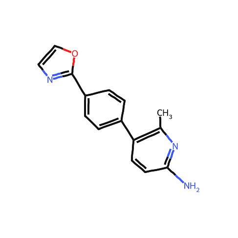 Cc1nc(N)ccc1-c1ccc(-c2ncco2)cc1